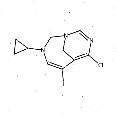 ClC1=C2CN(C=N1)CN(C1CC1)C=C2I